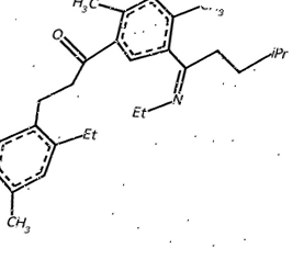 CC/N=C(/CCC(C)C)c1cc(C(=O)CCc2ccc(C)cc2CC)c(C)cc1C